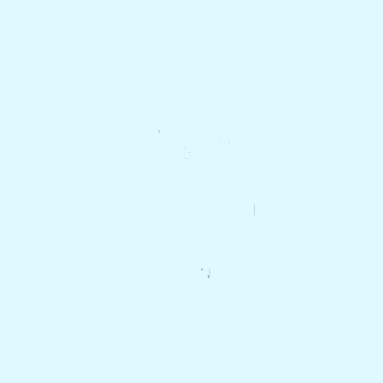 CC1(C)OB(c2ccc(Cl)nc2Cl)OC1(C)C